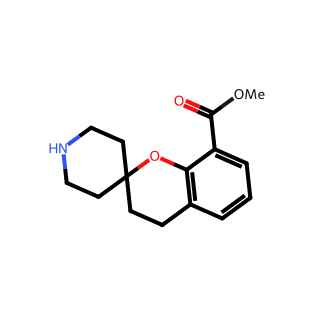 COC(=O)c1cccc2c1OC1(CCNCC1)CC2